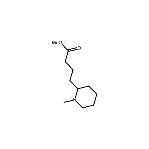 COC(=O)CCCC1CCCCN1C